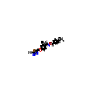 CCc1nnc(COc2ccc(/C(C)=N/OCc3ccc(C)cc3)cc2)s1